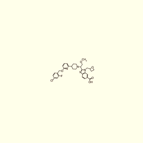 COCC(c1nc2ccc(C(=O)O)cc2n1CC1CCO1)N1CCC(c2cccc(OCc3ccc(Cl)cc3F)n2)CC1